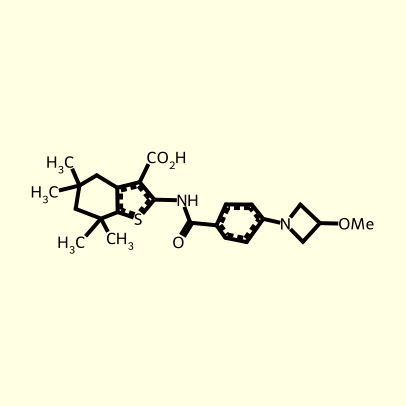 COC1CN(c2ccc(C(=O)Nc3sc4c(c3C(=O)O)CC(C)(C)CC4(C)C)cc2)C1